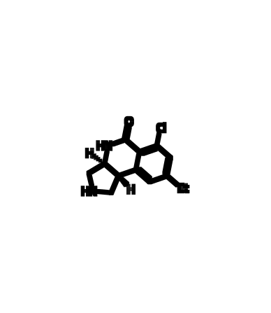 CCc1cc(Cl)c2c(c1)[C@@H]1CNC[C@H]1NC2=O